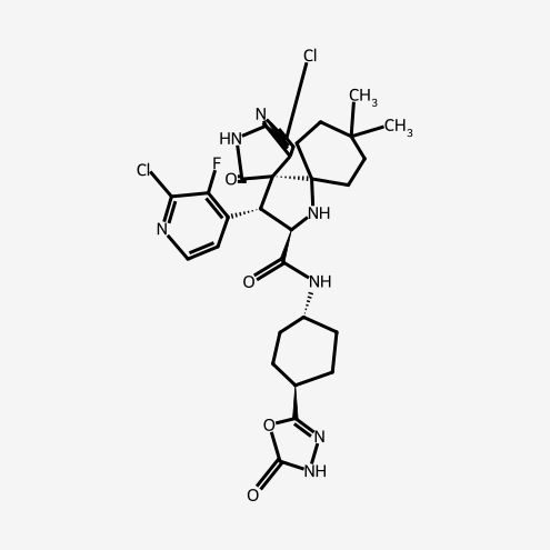 CC1(C)CCC2(CC1)N[C@@H](C(=O)N[C@H]1CC[C@H](c3n[nH]c(=O)o3)CC1)[C@H](c1ccnc(Cl)c1F)[C@]21C(=O)Nc2nc(Cl)ccc21